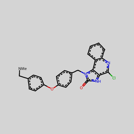 CNCc1ccc(Oc2ccc(Cn3c(=O)[nH]c4c(Cl)nc5ccccc5c43)cc2)cc1